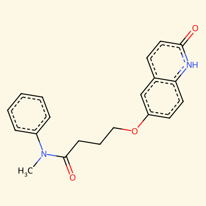 CN(C(=O)CCCOc1ccc2[nH]c(=O)ccc2c1)c1ccccc1